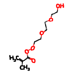 C=C(C)C(=O)OOCCOCCOCCO